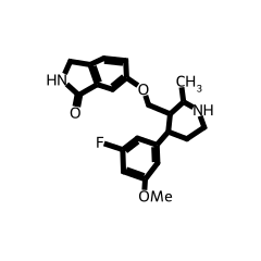 COc1cc(F)cc(C2CCNC(C)C2COc2ccc3c(c2)C(=O)NC3)c1